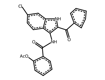 CC(=O)Oc1ccccc1C(=O)Nc1c(C(=O)c2ccccc2)[nH]c2cc(Cl)ccc12